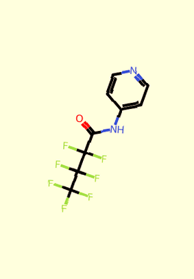 O=C(Nc1ccncc1)C(F)(F)C(F)(F)C(F)(F)F